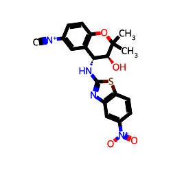 [C-]#[N+]c1ccc2c(c1)[C@@H](Nc1nc3cc([N+](=O)[O-])ccc3s1)[C@H](O)C(C)(C)O2